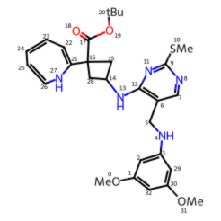 COc1cc(NCc2cnc(SC)nc2NC2CC(C(=O)OC(C)(C)C)(C3=CC=CC=CN3)C2)cc(OC)c1